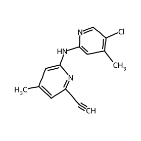 C#Cc1cc(C)cc(Nc2cc(C)c(Cl)cn2)n1